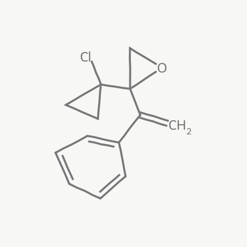 C=C(c1ccccc1)C1(C2(Cl)CC2)CO1